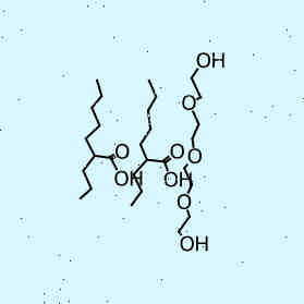 CCCCCC(CCC)C(=O)O.CCCCCC(CCC)C(=O)O.OCCOCCOCCOCCO